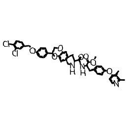 COC(=O)C(Cc1ccc(Oc2ccnc(C)c2C)cc1)NC(=O)C1Cc2cc3c(cc2CN1)OC(c1ccc(OCc2ccc(Cl)c(Cl)c2)cc1)CO3